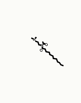 CCCCCCCCCCCC(=O)N(CCCN(C)C)C(C)=O